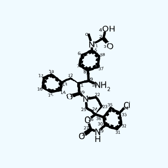 CN(C(=O)O)c1ccc(C(N)[C@H](Cc2ccccc2)C(=O)N2CC[C@]3(C2)OC(=O)Nc2ccc(Cl)cc23)cc1